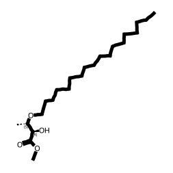 CCCCCCCCCCCCCCCCCCO[C@@H](C)[C@@H](O)C(=O)OC